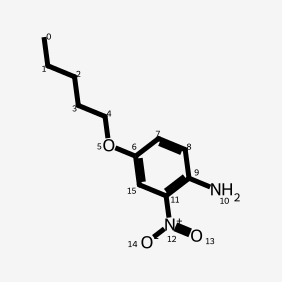 CCCCCOc1ccc(N)c([N+](=O)[O-])c1